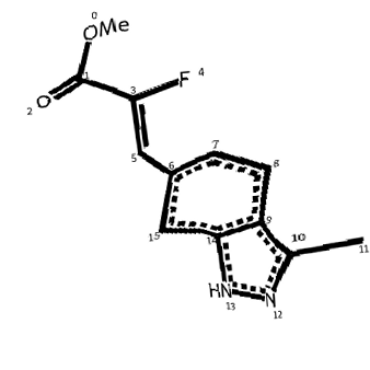 COC(=O)/C(F)=C/c1ccc2c(C)n[nH]c2c1